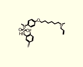 C=CCN(C)CCCCCCOc1ccc(N(C)S(=O)(=O)Nc2cc(F)ccc2F)cc1